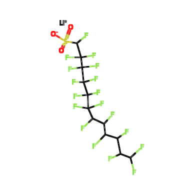 O=S(=O)([O-])C(F)C(F)(F)C(F)(F)C(F)(F)C(F)(F)C(F)(F)C(F)C(F)C(F)C(F)C(F)C(F)F.[Li+]